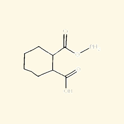 O=C(O)C1CCCCC1C(=O)OP